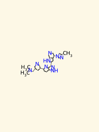 Cc1cn(-c2cncc3[nH]c(-c4n[nH]c5ccc(-c6cncc(CN(C)C)c6)nc45)cc23)cn1